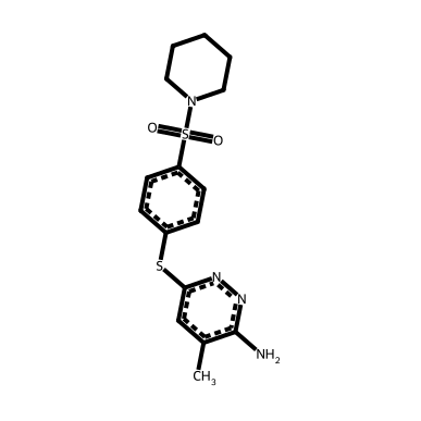 Cc1cc(Sc2ccc(S(=O)(=O)N3CCCCC3)cc2)nnc1N